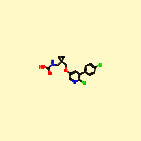 O=C(O)NCC1(COc2cnc(Cl)c(-c3ccc(Cl)cc3)c2)CC1